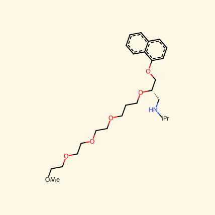 COCCOCCOCCOCCCO[C@@H](CNC(C)C)COc1cccc2ccccc12